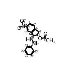 CC(=O)O[C@@H]1Cc2ccc([N+](=O)[O-])cc2[C@H]1NNc1ccccc1